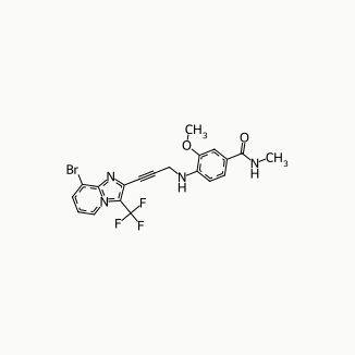 CNC(=O)c1ccc(NCC#Cc2nc3c(Br)cccn3c2C(F)(F)F)c(OC)c1